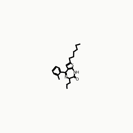 CCCCCCc1cc2c(s1)NC(=O)C(CCC)N=C2c1ccccc1C